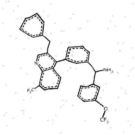 NC(c1cccc(OC(F)(F)F)c1)c1cccc(-c2c(Cc3ccccc3)cnc3c(C(F)(F)F)cccc23)c1